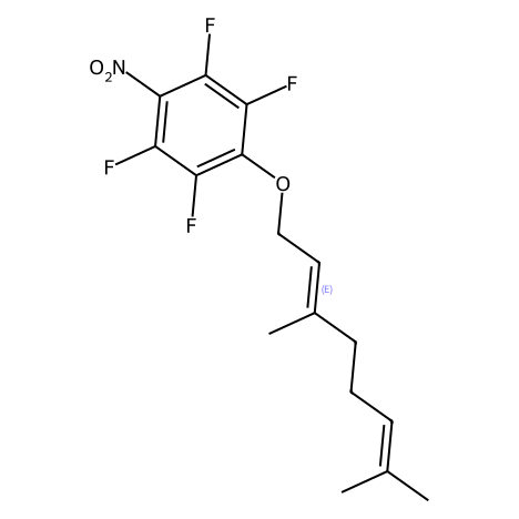 CC(C)=CCC/C(C)=C/COc1c(F)c(F)c([N+](=O)[O-])c(F)c1F